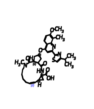 COc1ccc2c(O[C@@H]3CC4C(=O)N[C@]5(C(=O)O)C[C@H]5/C=C\CCCCN(C)C(=O)[C@@H]4C3)cc(-c3nc(C(C)C)cs3)nc2c1C